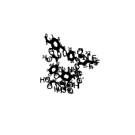 CCc1ccc(COc2ccc(-n3c(=O)cc(C(F)(F)F)n(C)c3=O)cc2)c(OC(C)C(=O)OC)c1.Nc1c([N+](=O)[O-])ccc(Oc2ccccc2)c1Cl.O=C(O)CNCP(=O)(O)O